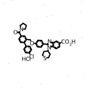 Cl.O=C(O)c1ccc2c(c1)nc(-c1ccc(OCc3cc(C(=O)N4CCCC4)ccc3-c3ccc(Cl)cc3)cc1)n2C1CCSCC1